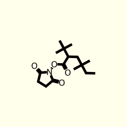 CCC(C)(C)CC(C(=O)ON1C(=O)CCC1=O)C(C)(C)C